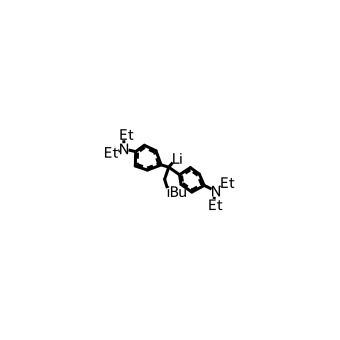 [Li][C](CC(C)CC)(c1ccc(N(CC)CC)cc1)c1ccc(N(CC)CC)cc1